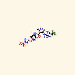 COC(=O)NCCOc1ccc(NC(=O)c2c(C)nsc2Nc2cnc(C(F)(F)F)cn2)cn1